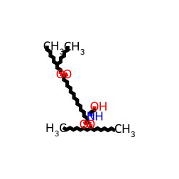 CCCCCCCCC(CCCCCCCC)OC(=O)C(CCCCCCCCCCCCCC(=O)OCCC(CCCCCC)CCCCCC)NCCO